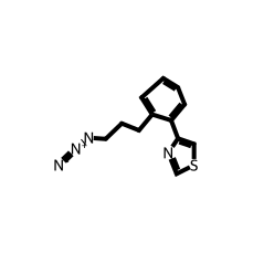 [N-]=[N+]=NCCCc1ccccc1-c1cscn1